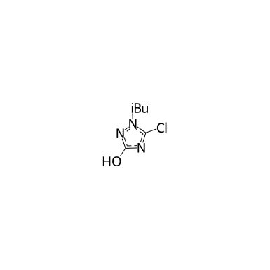 CCC(C)n1nc(O)nc1Cl